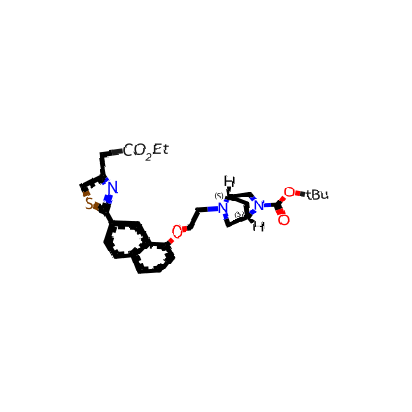 CCOC(=O)Cc1csc(-c2ccc3cccc(OCCN4C[C@@H]5C[C@H]4CN5C(=O)OC(C)(C)C)c3c2)n1